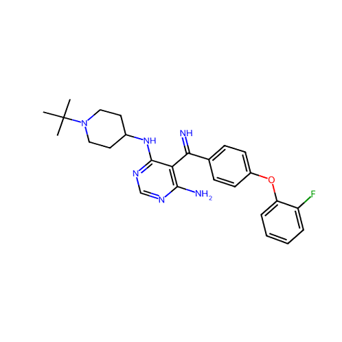 CC(C)(C)N1CCC(Nc2ncnc(N)c2C(=N)c2ccc(Oc3ccccc3F)cc2)CC1